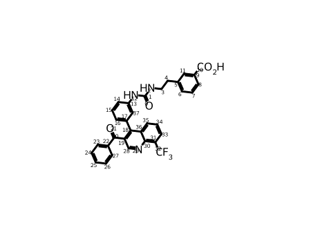 O=C(NCCc1cccc(C(=O)O)c1)Nc1cccc(-c2c(C(=O)c3ccccc3)cnc3c(C(F)(F)F)cccc23)c1